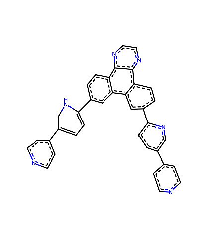 C1=C(c2ccncc2)CNC(c2ccc3c(c2)c2cc(-c4ccc(-c5ccncc5)cn4)ccc2c2nccnc32)=C1